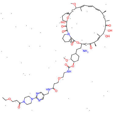 CCOCCC(=O)N1CCN(c2ncc(CNC(=O)CCOCCNC(=O)O[C@@H]3CCC(C[C@@H](N)[C@@H]4CC(=O)[C@H](C)/C=C(\C)[C@@H](O)[C@@H](O)C(=O)C(C)C[C@H](C)/C=C/C=C/C=C(\C)C(OC)C[C@@H]5CC[C@@H](C)[C@@](O)(O5)C(=O)C(=O)N5CCCC[C@H]5C(=O)O4)C[C@H]3OC)cn2)CC1